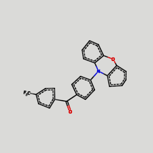 O=C(c1ccc(N2c3ccccc3Oc3ccccc32)cc1)c1ccc(C(F)(F)F)cc1